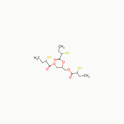 CCC(S)C(=O)OCC(COC(=O)C(S)CC)OC(=O)C(S)CC